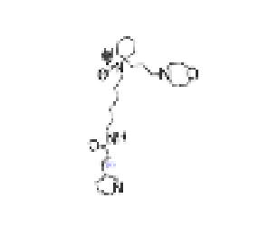 O=C(/C=C/c1cccnc1)NCCCCCCN([SH](=O)=O)C1(CCCN2CCOCC2)CCCCC1